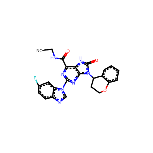 N#CCNC(=O)c1nc(-n2cnc3ccc(F)cc32)nc2c1[nH]c(=O)n2C1CCOc2ccccc21